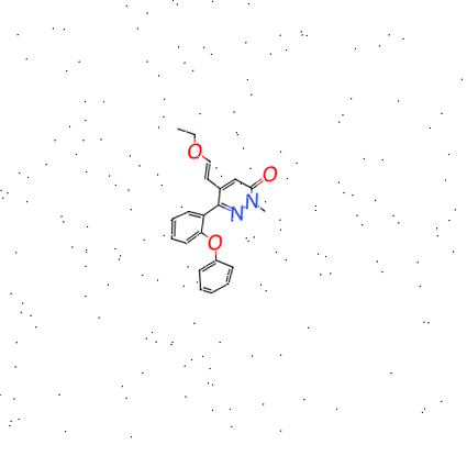 CCOC=Cc1cc(=O)n(C)nc1-c1ccccc1Oc1ccccc1